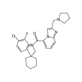 O=C(NCC1(c2ccc(Cl)c(F)c2)CCCCC1)c1cccc2nc(CN3CCCC3)cn12